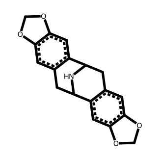 c1c2c(cc3c1OCO3)C1Cc3cc4c(cc3C(C2)N1)OCO4